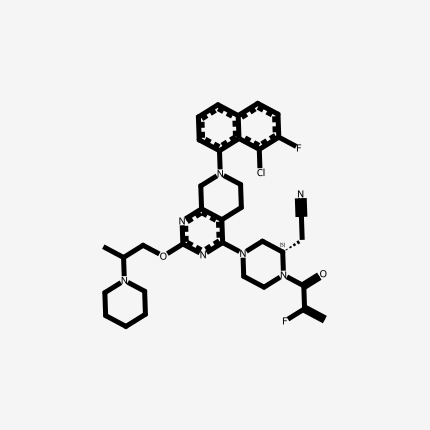 C=C(F)C(=O)N1CCN(c2nc(OCC(C)N3CCCCC3)nc3c2CCN(c2cccc4ccc(F)c(Cl)c24)C3)C[C@@H]1CC#N